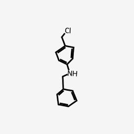 ClCc1ccc(NCc2ccccc2)cc1